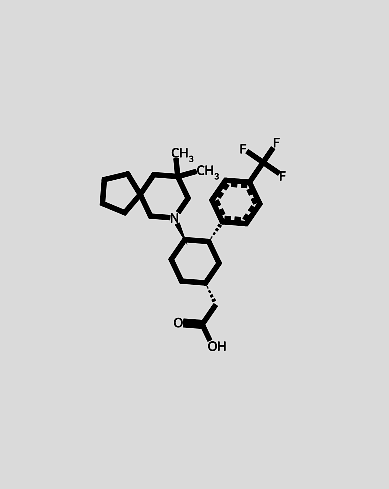 CC1(C)CN([C@@H]2CC[C@@H](CC(=O)O)C[C@H]2c2ccc(C(F)(F)F)cc2)CC2(CCCC2)C1